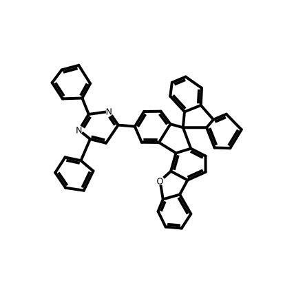 c1ccc(-c2cc(-c3ccc4c(c3)-c3c(ccc5c3oc3ccccc35)C43c4ccccc4-c4ccccc43)nc(-c3ccccc3)n2)cc1